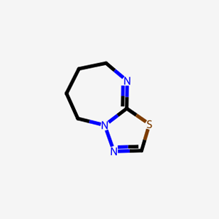 C1=NN2CCCCN=C2S1